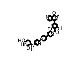 COc1cc(-c2cn(C)c(=O)c3cnccc23)cc(Cl)c1C(=O)N1CCC(C2CCN(c3ccc(NC4CCC(O)NC4=O)cn3)CC2)CC1